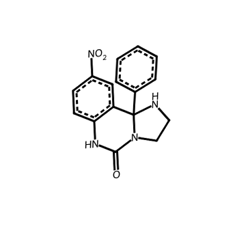 O=C1Nc2ccc([N+](=O)[O-])cc2C2(c3ccccc3)NCCN12